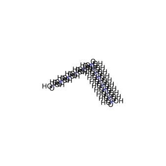 O=C(O)/C=C/C(=O)O.O=C(O)/C=C/C(=O)O.O=C(O)/C=C/C(=O)O.O=C(O)/C=C/C(=O)O.O=C(O)/C=C/C(=O)O.O=C(O)/C=C/C(=O)O.O=C(O)/C=C/C(=O)O.O=C(O)/C=C/C(=O)O.O=C(O)/C=C/C(=O)O.O=C(O)/C=C/C(=O)O.O=C(O)/C=C/C(=O)O.O=C(O)/C=C/C(=O)O.O=C(O)/C=C/C(=O)O.O=C(O)/C=C/C(=O)O.O=C(O)/C=C/C(=O)O